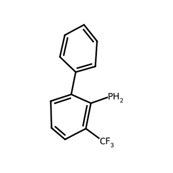 FC(F)(F)c1cccc(-c2ccccc2)c1P